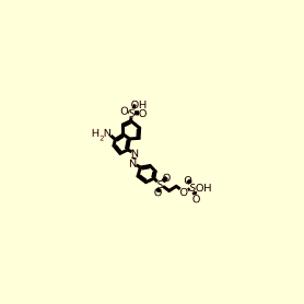 Nc1ccc(/N=N/c2ccc(S(=O)(=O)CCOS(=O)(=O)O)cc2)c2ccc(S(=O)(=O)O)cc12